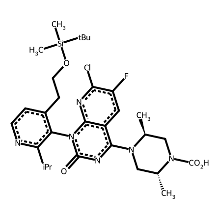 CC(C)c1nccc(CCO[Si](C)(C)C(C)(C)C)c1-n1c(=O)nc(N2C[C@@H](C)N(C(=O)O)C[C@@H]2C)c2cc(F)c(Cl)nc21